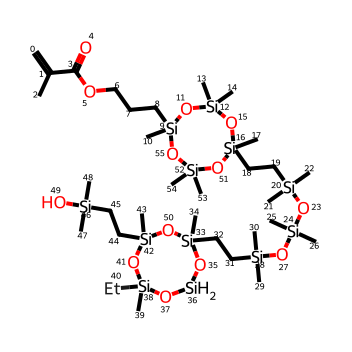 C=C(C)C(=O)OCCC[Si]1(C)O[Si](C)(C)O[Si](C)(CC[Si](C)(C)O[Si](C)(C)O[Si](C)(C)CC[Si]2(C)O[SiH2]O[Si](C)(CC)O[Si](C)(CC[Si](C)(C)O)O2)O[Si](C)(C)O1